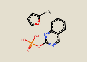 O=P(O)(O)Oc1ncc2ccccc2n1.O=[N+]([O-])c1ccco1